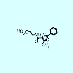 Cc1oc(-c2ccccc2)nc1C(=O)NCCC(=O)O